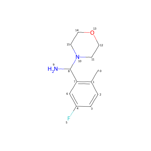 [CH2]c1ccc(F)cc1C(N)N1CCOCC1